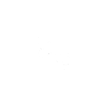 CC(C)CN1CCCC[C@@H](Oc2ccc(C(=O)O)c(CCl)c2)C1